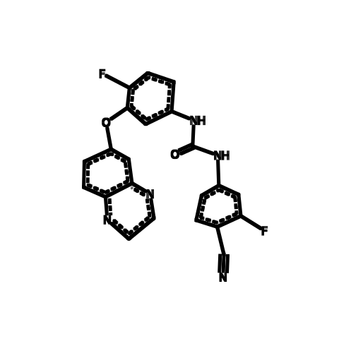 N#Cc1ccc(NC(=O)Nc2ccc(F)c(Oc3ccc4nccnc4c3)c2)cc1F